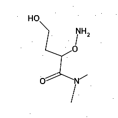 CN(C)C(=O)C(CCO)ON